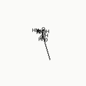 CCCCCCCCCCCCCCCCCC(=O)NCC(=O)NCC(=O)N[C@@H](Cc1c[nH]cn1)C(=O)O